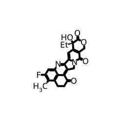 CC[C@@]1(O)C(=O)OCc2c1cc1n(c2=O)Cc2c-1nc1cc(F)c(C)c3c1c2C(=O)CC3